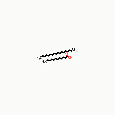 CCCCCCCCCCCC(=O)O.CCCCCCCCCCCCCCCCCC